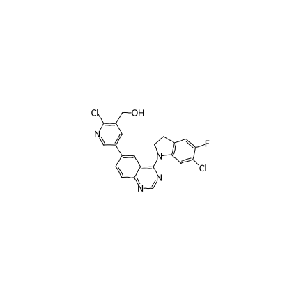 OCc1cc(-c2ccc3ncnc(N4CCc5cc(F)c(Cl)cc54)c3c2)cnc1Cl